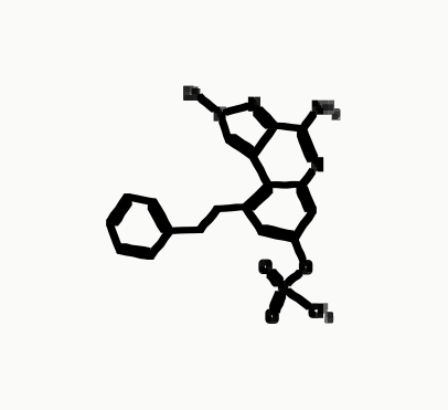 CCn1cc2c(n1)c(N)nc1cc(OS(=O)(=O)C(F)(F)F)cc(CCc3ccccc3)c12